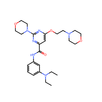 CCN(CC)c1cccc(NC(=O)c2cc(OCCN3CCOCC3)nc(N3CCOCC3)n2)c1